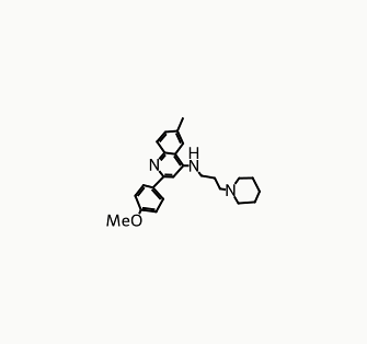 COc1ccc(-c2cc(NCCCN3CCCCC3)c3cc(C)ccc3n2)cc1